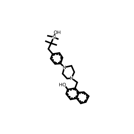 CC(C)(Cc1ccc(N2CCN(Cc3c(O)ccc4ccccc34)CC2)cc1)[Si](C)(C)O